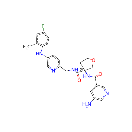 Nc1cncc(C(=O)N[C@@]2(C(=O)NCc3ccc(Nc4ccc(F)cc4C(F)(F)F)cn3)CCOC2)c1